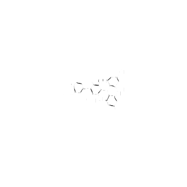 Cc1cc(C)c(B(c2c(C)cc(C)cc2C)c2c(C)c(C)c(-c3ccnc(C(=O)O)c3)c(C)c2C)c(C)c1